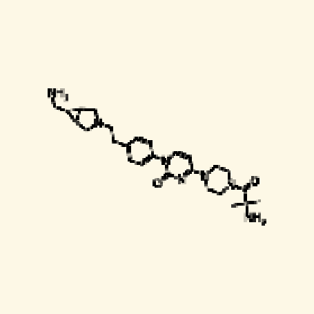 CC(C)(N)C(=O)N1CCN(c2ccn(-c3ccc(CCN4CC5C(CN)C5C4)cc3)c(=O)n2)CC1